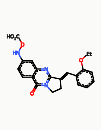 CCOc1ccccc1C=C1CCn2c1nc1cc(NOC(=O)O)ccc1c2=O